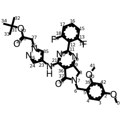 COc1ccc(CN2Cc3nc(-c4c(F)cccc4F)nc(Nc4cnn(CC(=O)OC(C)(C)C)c4)c3C2=O)c(OC)c1